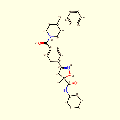 CC1(C(=O)NC2CCCCC2)CC(c2ccc(C(=O)N3CCC(Cc4ccccc4)CC3)cc2)=NO1